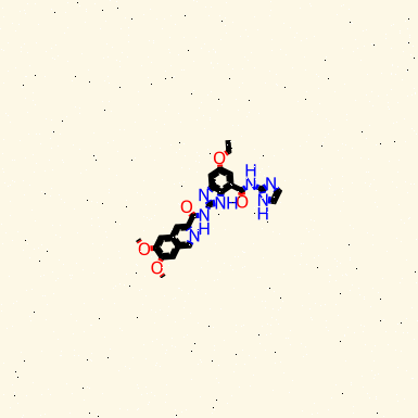 CCOc1cc(C(=O)Nc2ncc[nH]2)c2[nH]c(NC(=O)c3cc4cc(OC)c(OC)cc4cn3)nc2c1